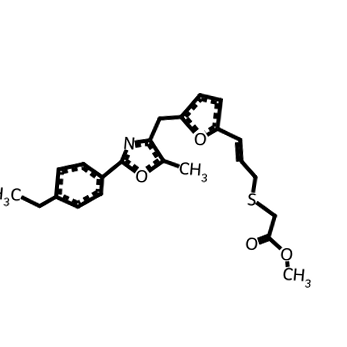 CCc1ccc(-c2nc(Cc3ccc(C=CCSCC(=O)OC)o3)c(C)o2)cc1